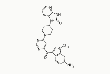 Cn1cc(C(=O)c2cc(N3CCC(n4c(=O)[nH]c5ncccc54)CC3)ncn2)c2ccc(N)cc21